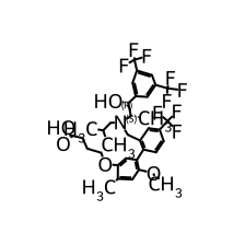 COc1cc(C)c(OCCCC(=O)O)cc1-c1ccc(C(F)(F)F)cc1CN(CC(C)C)[C@@H](C)[C@H](O)c1cc(C(F)(F)F)cc(C(F)(F)F)c1